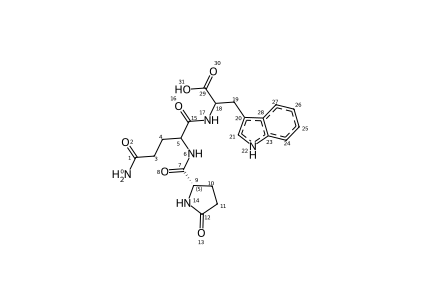 NC(=O)CCC(NC(=O)[C@@H]1CCC(=O)N1)C(=O)NC(Cc1c[nH]c2ccccc12)C(=O)O